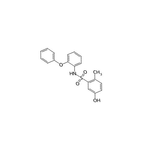 Cc1ccc(O)cc1S(=O)(=O)Nc1ccccc1Oc1ccccc1